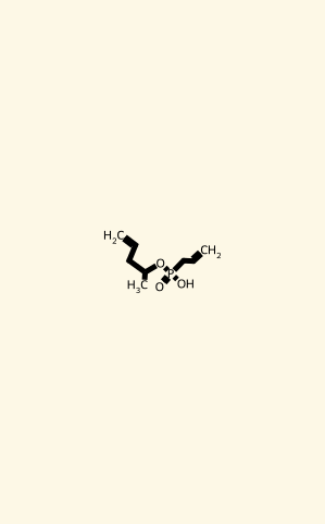 C=CCC(C)OP(=O)(O)CC=C